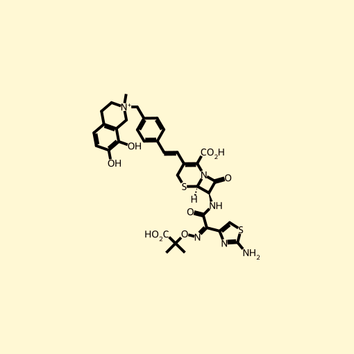 CC(C)(O/N=C(\C(=O)N[C@@H]1C(=O)N2C(C(=O)O)=C(/C=C/c3ccc(C[N+]4(C)CCc5ccc(O)c(O)c5C4)cc3)CS[C@H]12)c1csc(N)n1)C(=O)O